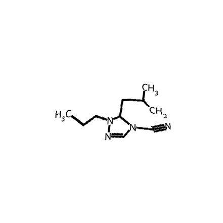 CCCN1N=CN(C#N)C1CC(C)C